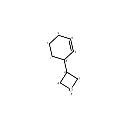 C1=CC(C2COC2)CCC1